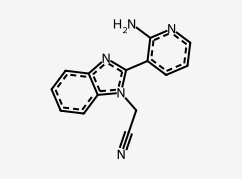 N#CCn1c(-c2cccnc2N)nc2ccccc21